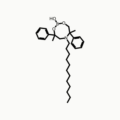 CCCCCCCCCCCCN1CC(C)(c2ccccc2)OB(O)OCC1(C)c1ccccc1